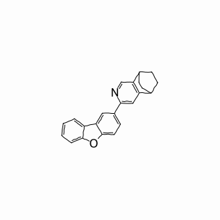 c1ccc2c(c1)oc1ccc(-c3cc4c(cn3)C3CCC4CC3)cc12